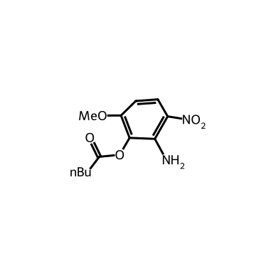 CCCCC(=O)Oc1c(OC)ccc([N+](=O)[O-])c1N